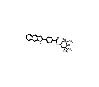 CC1(C)CC(NC(=O)c2ccc(-c3nc4cc5ccccc5cc4[nH]3)cc2)CC(C)(C)N1